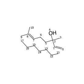 C=CC(C)(O)CCC=C(C)C.CCCCCCC